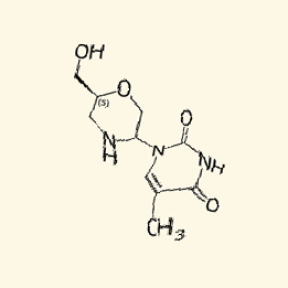 Cc1cn(C2CO[C@H](CO)CN2)c(=O)[nH]c1=O